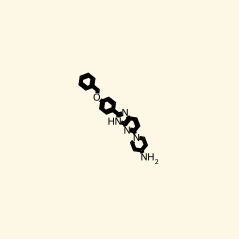 NC1CCN(c2ccc3nc(-c4ccc(OCc5ccccc5)cc4)[nH]c3n2)CC1